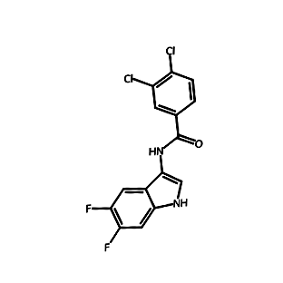 O=C(Nc1c[nH]c2cc(F)c(F)cc12)c1ccc(Cl)c(Cl)c1